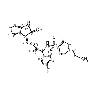 CCCc1ccc(S(=O)(=O)NC(C(=O)NN=C2C(=O)Nc3ccccc32)c2ccc(Cl)cc2)cc1